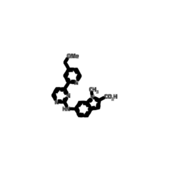 COCc1ccnc(-c2ccnc(Nc3ccc4cc(C(=O)O)n(C)c4c3)n2)c1